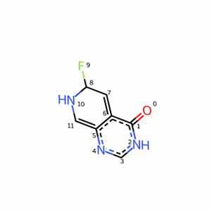 O=c1[nH]cnc2c1=CC(F)NC=2